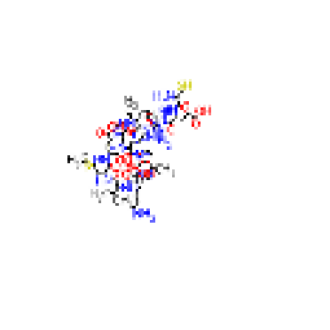 CC[C@H](C)[C@H](NC(=O)CNC(=O)[C@H](CCC(=O)O)NC(=O)[C@@H](N)CS)C(=O)N[C@@H](Cc1c[nH]cn1)C(=O)N1CCC[C@H]1C(=O)N[C@@H](CCCCN)C(=O)N[C@H](C(=O)N[C@@H](CCSC)C(=O)N[C@@H](CCC(=O)O)C(=O)N[C@@H](CCCNC(=N)N)C(=O)N[C@@H](CC(C)C)C(=O)O)C(C)C